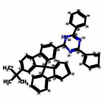 CC(C)(C)c1ccc2c(c1)C1(c3ccccc3-c3ccccc31)c1cc(C3N=C(c4ccccc4)N=C(c4ccccc4)N3)ccc1-2